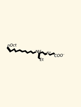 CCC=C(CC=[N+]CCC(=O)[O-])NCCCCCCCC/C=C\CCCCCCCC